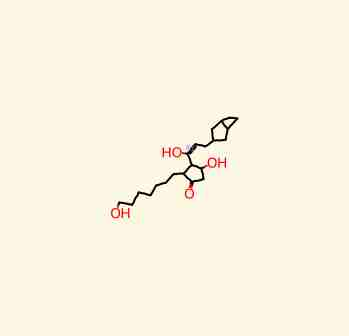 O=C1CC(O)C(/C(O)=C\CC2CC3CCC3C2)C1CCCCCCCO